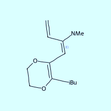 C=C/C(=C\C1=C(C(C)CC)OCCO1)NC